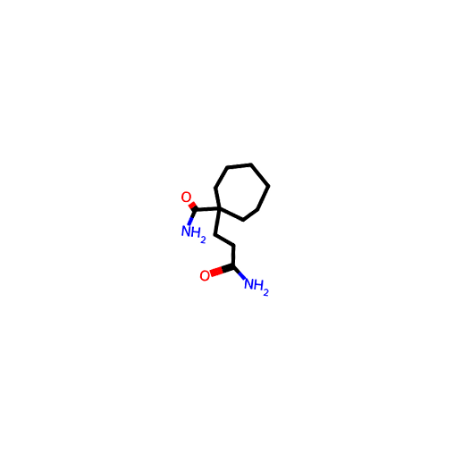 NC(=O)CCC1(C(N)=O)CCCCCC1